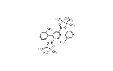 C=C1OB(c2cc(-c3ccccc3C)c(B3OC(C)(C)C(C)(C)O3)cc2-c2ccccc2C)OC1(C)C